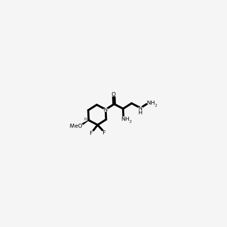 CO[C@H]1CCN(C(=O)C(N)CNN)CC1(F)F